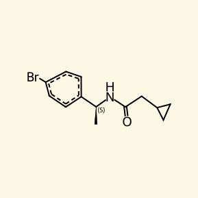 C[C@H](NC(=O)CC1CC1)c1ccc(Br)cc1